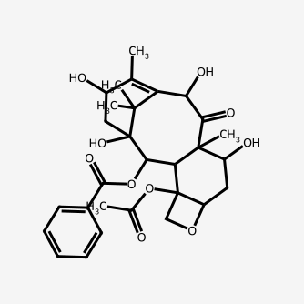 CC(=O)OC12COC1CC(O)C1(C)C(=O)C(O)C3=C(C)C(O)CC(O)(C(OC(=O)c4ccccc4)C21)C3(C)C